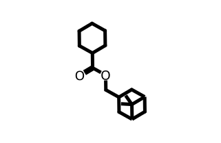 CC1(C)C2CC(COC(=O)C3CCCCC3)CC1C2